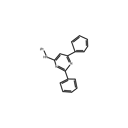 CC(C)Nc1cc(-c2ccccc2)nc(-c2ccccc2)n1